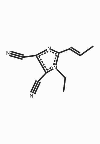 CC=Cc1nc(C#N)c(C#N)n1CC